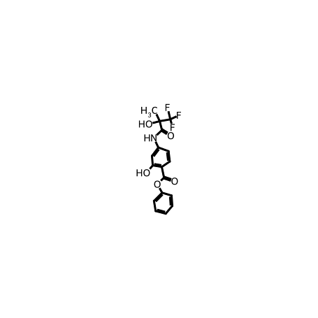 CC(O)(C(=O)Nc1ccc(C(=O)Oc2ccccc2)c(O)c1)C(F)(F)F